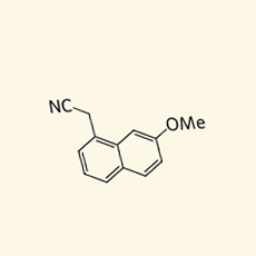 COc1ccc2cccc(CC#N)c2c1